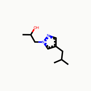 CC(C)Cc1cnn(CC(C)O)c1